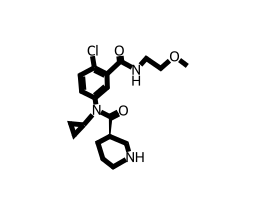 COCCNC(=O)c1cc(N(C(=O)[C@@H]2CCCNC2)C2CC2)ccc1Cl